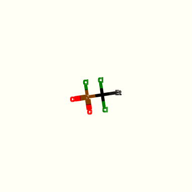 CCC(Cl)(Cl)S(=O)(=O)Cl